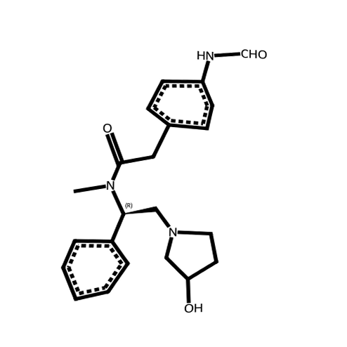 CN(C(=O)Cc1ccc(NC=O)cc1)[C@@H](CN1CCC(O)C1)c1ccccc1